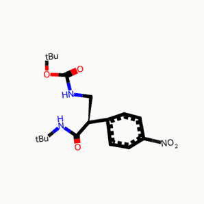 CC(C)(C)NC(=O)[C@@H](CNC(=O)OC(C)(C)C)c1ccc([N+](=O)[O-])cc1